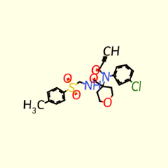 C#CC(=O)N(c1cccc(Cl)c1)C1(C(=O)NCS(=O)(=O)c2ccc(C)cc2)CCOCC1